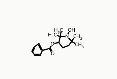 CC1(C)CCC(OC(=O)c2ccccc2)C(C)(C)N1O